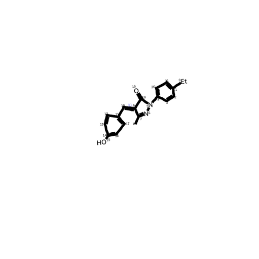 CCc1ccc(N2N=C(C)/C(=C\c3ccc(O)cc3)C2=O)cc1